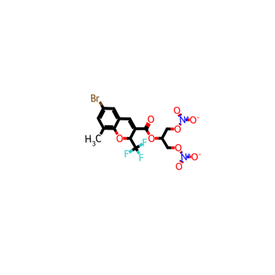 Cc1cc(Br)cc2c1OC(C(F)(F)F)C(C(=O)OC(CO[N+](=O)[O-])CO[N+](=O)[O-])=C2